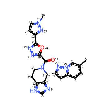 Cc1ccc2cc([C@@H]3c4nc[nH]c4CCN3C(=O)c3nnc(-c4ccn(C)n4)o3)nn2c1